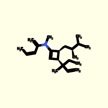 C=CC(C)(CC)[C@@H]1C=C(N(C)C(=C)/C=C\C)[C@@H]1C[C@@H](C)C(C)C